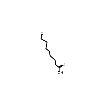 [O]CCCCCCCC(=O)O